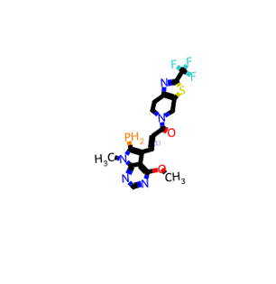 COc1ncnc2c1c(/C=C/C(=O)N1CCc3nc(C(F)(F)F)sc3C1)c(P)n2C